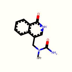 CCCN(Cc1c[nH]c(=O)c2ccccc12)C(N)=O